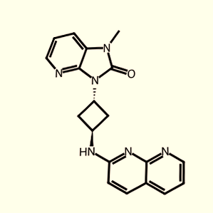 Cn1c(=O)n([C@H]2C[C@H](Nc3ccc4cccnc4n3)C2)c2ncccc21